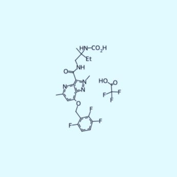 CCC(C)(CNC(=O)c1c2nc(C)cc(OCc3c(F)ccc(F)c3F)c2nn1C)NC(=O)O.O=C(O)C(F)(F)F